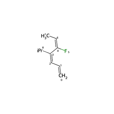 C=C/C=C(\C(F)=C/C)C(C)C